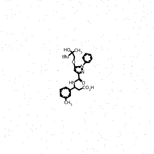 Cc1cccc(C(CC(=O)O)NC(=O)c2cc(OCC(C)(O)C(C)(C)C)n(-c3ccccc3)n2)c1